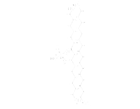 CCCCCCCCCCCCCCCCCO.CCCCCCCCCCCCCCCCO.O=S(=O)(O)O